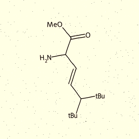 COC(=O)C(N)C=CC(C(C)(C)C)C(C)(C)C